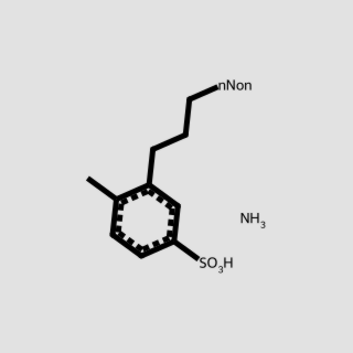 CCCCCCCCCCCCc1cc(S(=O)(=O)O)ccc1C.N